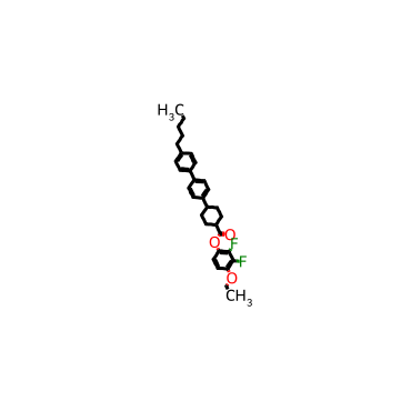 CCCCCc1ccc(-c2ccc(C3CCC(C(=O)Oc4ccc(OCC)c(F)c4F)CC3)cc2)cc1